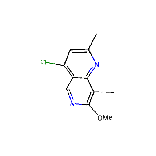 COc1ncc2c(Cl)cc(C)nc2c1C